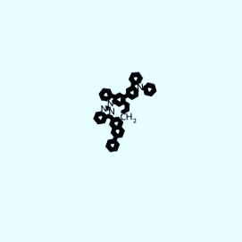 C=C/C=C\c1cc2c(cc1-c1ccc3c(c1)c1ccccc1n3-c1ccccc1)c1ccccc1n2-c1nc(-c2ccc3ccc(-c4ccccc4)cc3c2)c2ccccc2n1